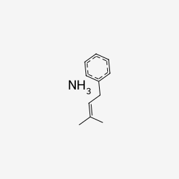 CC(C)=CCc1ccccc1.N